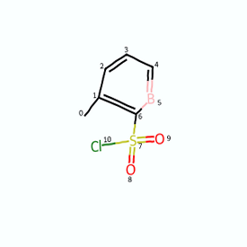 Cc1cccbc1S(=O)(=O)Cl